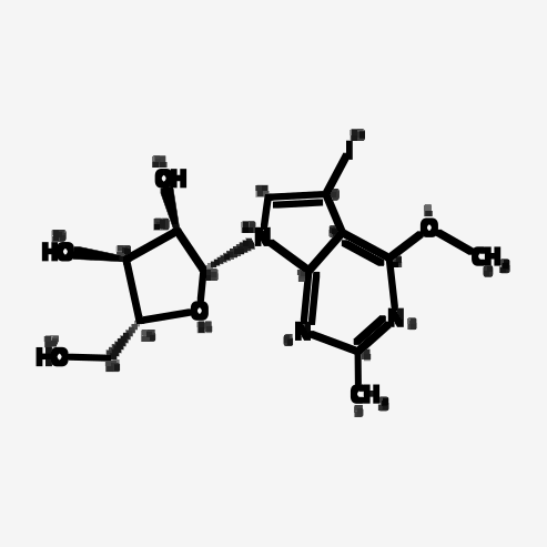 COc1nc(C)nc2c1c(I)cn2[C@@H]1O[C@H](CO)[C@@H](O)[C@H]1O